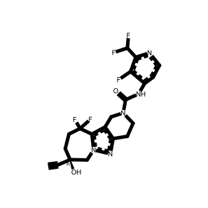 C#C[C@]1(O)CCC(F)(F)c2c3c(nn2C1)CCN(C(=O)Nc1ccnc(C(F)F)c1F)C3